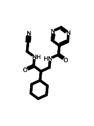 N#CCNC(=O)C(CNC(=O)c1cncnc1)C1CCCCC1